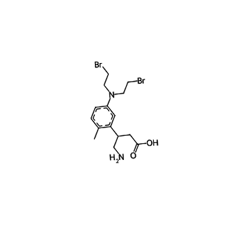 Cc1ccc(N(CCBr)CCBr)cc1C(CN)CC(=O)O